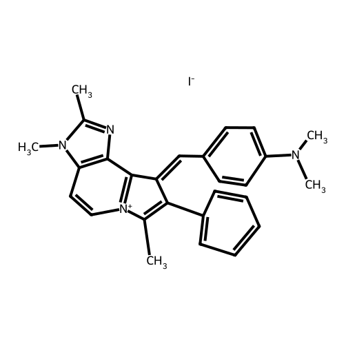 CC1=C(c2ccccc2)/C(=C\c2ccc(N(C)C)cc2)c2c3nc(C)n(C)c3cc[n+]21.[I-]